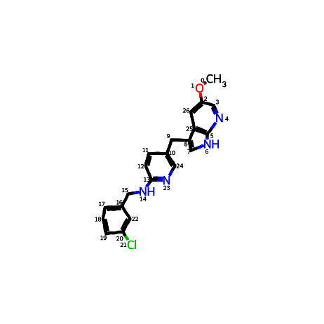 COc1cnc2[nH]cc(Cc3ccc(NCc4cccc(Cl)c4)nc3)c2c1